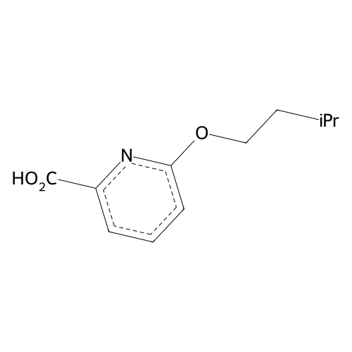 CC(C)CCOc1cccc(C(=O)O)n1